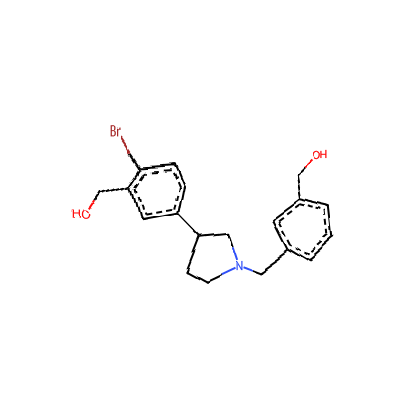 OCc1cccc(CN2CCC(c3ccc(Br)c(CO)c3)C2)c1